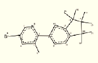 Cc1cc(Br)cnc1-c1ccc2c(c1)C(C)(C)C(C)(C)C2(C)C